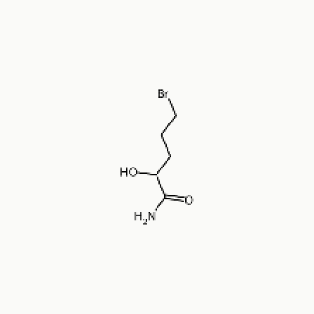 NC(=O)C(O)CCCBr